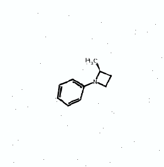 C[C@H]1CCN1c1cc[c]cc1